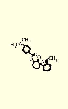 CCc1ccccc1C1(N)CCCC(OC(=O)c2ccc(N(C)C)cc2)C1=O